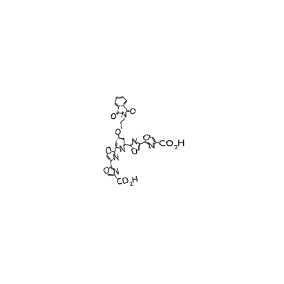 O=C(O)c1coc(-c2coc(-c3cc(OCCCN4C(=O)c5ccccc5C4=O)cc(-c4nc(-c5nc(C(=O)O)co5)co4)n3)n2)n1